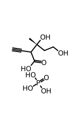 C#CC(C(=O)O)[C@](C)(O)CCO.O=P(O)(O)O